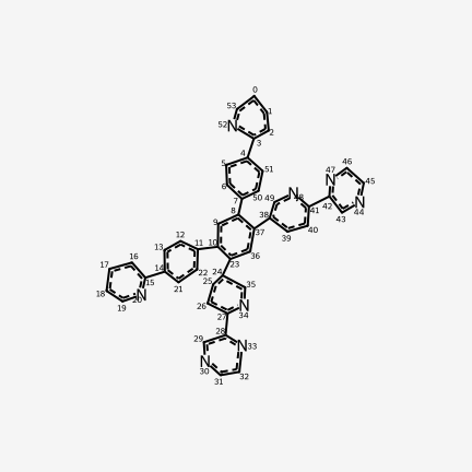 c1ccc(-c2ccc(-c3cc(-c4ccc(-c5ccccn5)cc4)c(-c4ccc(-c5cnccn5)nc4)cc3-c3ccc(-c4cnccn4)nc3)cc2)nc1